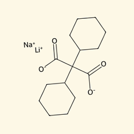 O=C([O-])C(C(=O)[O-])(C1CCCCC1)C1CCCCC1.[Li+].[Na+]